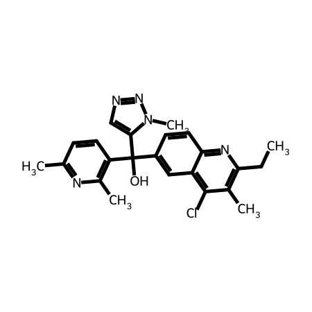 CCc1nc2ccc(C(O)(c3ccc(C)nc3C)c3cnnn3C)cc2c(Cl)c1C